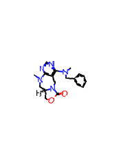 CN(Cc1ccccc1)c1ncnc2c1CN1C(=O)OC[C@@H]1CN2C